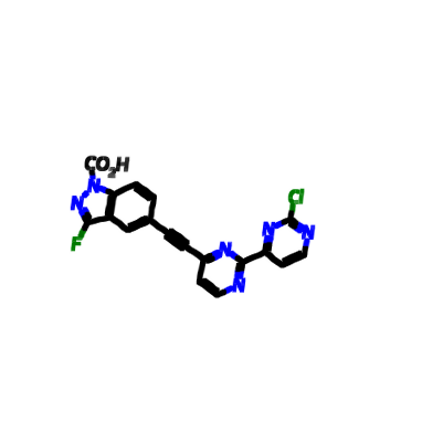 O=C(O)n1nc(F)c2cc(C#Cc3ccnc(-c4ccnc(Cl)n4)n3)ccc21